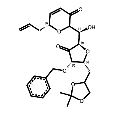 C=CC[C@@H]1C=CC(=O)C([C@@H](O)[C@H]2O[C@H](CC3COC(C)(C)O3)[C@H](OCc3ccccc3)C2=O)O1